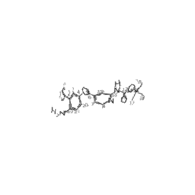 CSc1cc(Oc2ccnc(NC(=O)OC(C)(C)C)c2)ccc1N